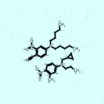 CCCCCN(CCCCC)c1ccc(C#N)c([N+](=O)[O-])c1.CCCN(CC1CC1)c1ccc([N+](=O)[O-])c(C)c1